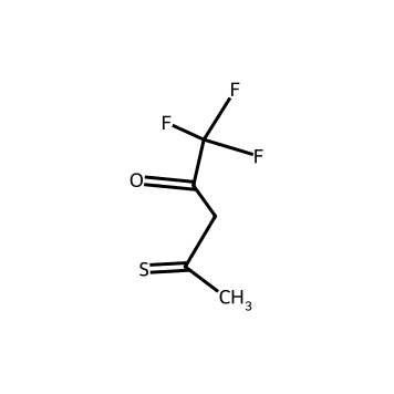 CC(=S)CC(=O)C(F)(F)F